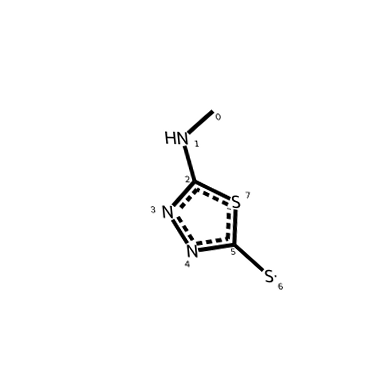 CNc1nnc([S])s1